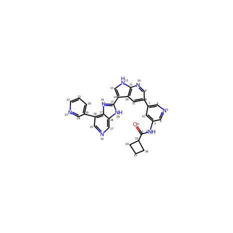 O=C(Nc1cncc(-c2cnc3[nH]cc(-c4nc5c(-c6cccnc6)cncc5[nH]4)c3c2)c1)C1CCC1